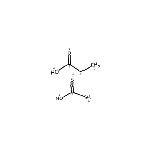 CCC(=O)O.OC(=S)S